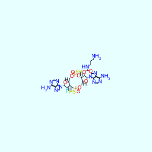 NCCCNC(=O)O[C@@H]1[C@@H]2O[P@](=O)(S)OC[C@H]3O[C@@H](n4cnc5c(N)ncnc54)[C@H](F)[C@@H]3C[P@](=O)(S)OC[C@H]2O[C@H]1n1cnc2c(N)ncnc21